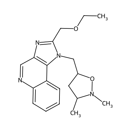 CCOCc1nc2cnc3ccccc3c2n1CC1CC(C)N(C)O1